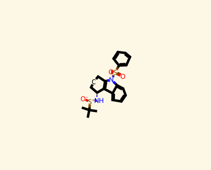 CC(C)(C)[S+]([O-])N[C@@H]1CCCc2c1c1ccccc1n2S(=O)(=O)c1ccccc1